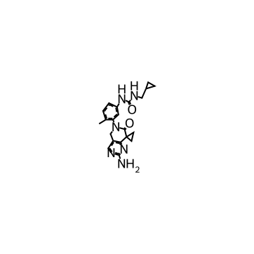 Cc1ccc(NC(=O)NCC2CC2)cc1N1Cc2cnc(N)nc2C2(CC2)C1=O